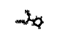 N#C[C](N=[N+]=[N-])c1ccccc1